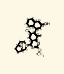 COc1nc(N2CCC3CCC(C2)N3)c2cc(Cl)c(-c3cc(O)cc4ccccc34)c(F)c2n1